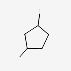 [O]C1CCC(F)C1